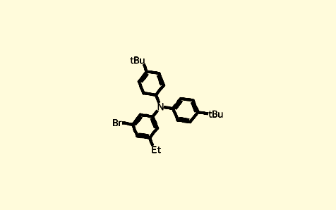 CCc1cc(Br)cc(N(c2ccc(C(C)(C)C)cc2)C2C=CC(C(C)(C)C)=CC2)c1